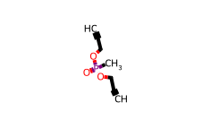 C#CCOP(C)(=O)OCC#C